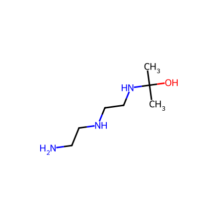 CC(C)(O)NCCNCCN